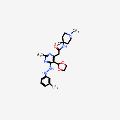 Cc1nc(CC(=O)NC2(C)CCN(C)CC2)c(C2OCCO2)c(NNc2cccc(C(F)(F)F)c2)n1